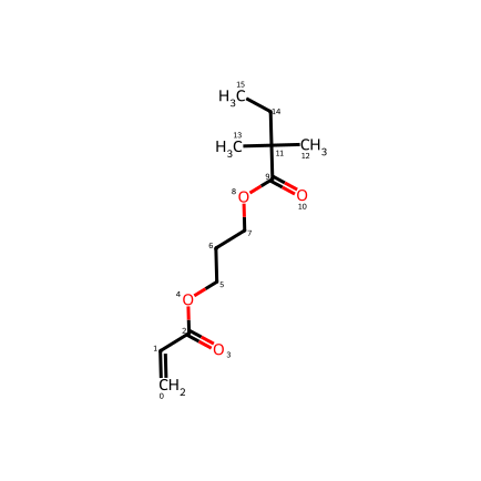 C=CC(=O)OCCCOC(=O)C(C)(C)CC